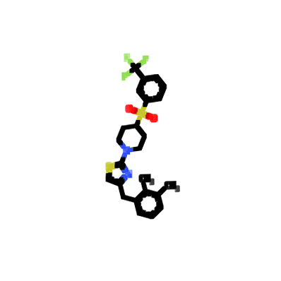 Cc1cccc(Cc2csc(N3CCC(S(=O)(=O)c4cccc(C(F)(F)F)c4)CC3)n2)c1C